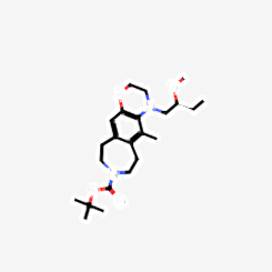 CC[C@@H](CN1CCOc2cc3c(c(C)c21)CCN(C(=O)OC(C)(C)C)CC3)OC